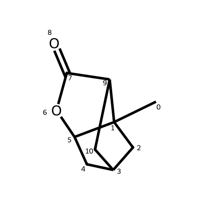 CC12CC3CC1OC(=O)C2C3